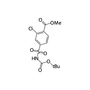 COC(=O)c1ccc(S(=O)(=O)NC(=O)OC(C)(C)C)cc1Cl